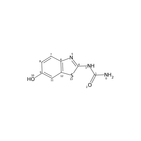 NC(=O)Nc1nc2ccc(O)cc2s1